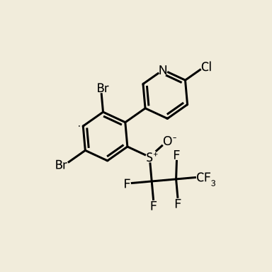 [O-][S+](c1cc(Br)[c]c(Br)c1-c1ccc(Cl)nc1)C(F)(F)C(F)(F)C(F)(F)F